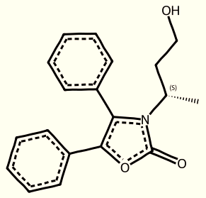 C[C@@H](CCO)n1c(-c2ccccc2)c(-c2ccccc2)oc1=O